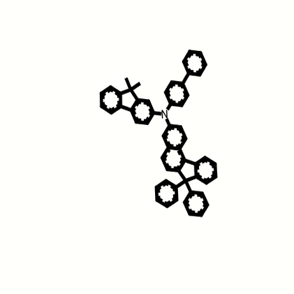 CC1(C)c2ccccc2-c2ccc(N(c3ccc(-c4ccccc4)cc3)c3ccc4c5c(ccc4c3)C(c3ccccc3)(c3ccccc3)c3ccccc3-5)cc21